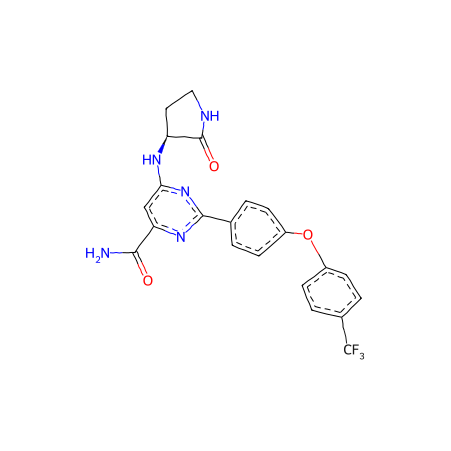 NC(=O)c1cc(N[C@H]2CCNC2=O)nc(-c2ccc(Oc3ccc(C(F)(F)F)cc3)cc2)n1